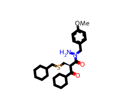 COc1ccc(CN(N)C(=O)[C@H](CSCC2CCCCC2)C(=O)C2CCCCC2)cc1